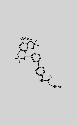 COc1cc2c(c3c1OC(C)(C)C3)C(c1cccc(-c3ccc(NC(=O)CNC(C)=O)cc3)c1)=NC(C)(C)C2